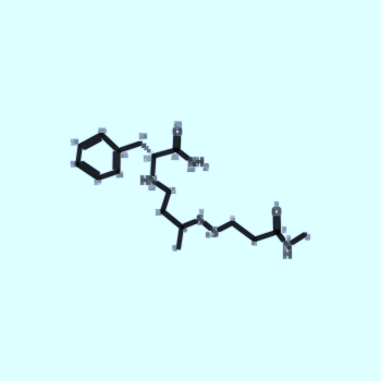 CNC(=O)CCSSC(C)CCN[C@H](Cc1ccccc1)C(N)=O